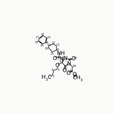 CCCCOc1c(C(=O)N[C@H]2CC[C@@H](c3ccccc3)CC2)[nH]c(=O)n(CC(=O)OC)c1=O